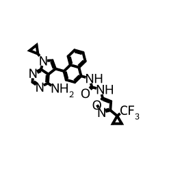 Nc1ncnc2c1c(-c1ccc(NC(=O)Nc3cc(C4(C(F)(F)F)CC4)no3)c3ccccc13)cn2C1CC1